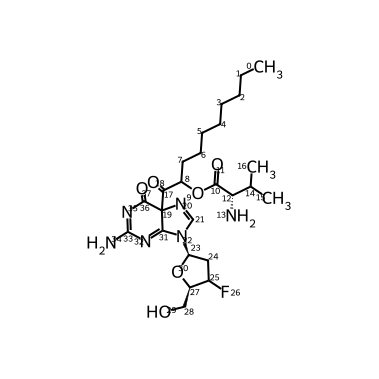 CCCCCCCCC(OC(=O)[C@@H](N)C(C)C)C(=O)C12N=CN([C@H]3CC(F)[C@@H](CO)O3)C1=NC(N)=NC2=O